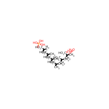 C=C(C)C(=O)O.C=C(C)C(=O)O.C=C(C)C(=O)O.C=C(C)C(=O)O.C=C(C)C(=O)O.C=C(C)C(=O)O.O.O.O.O=P(O)(O)O